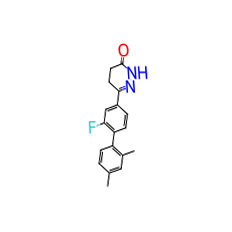 Cc1ccc(-c2ccc(C3=NNC(=O)CC3)cc2F)c(C)c1